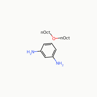 CCCCCCCCOCCCCCCCC.Nc1cccc(N)c1